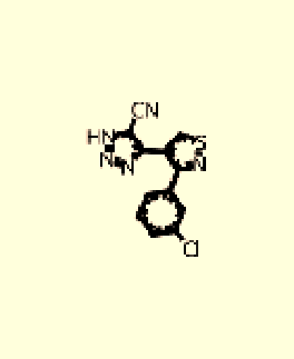 N#Cc1[nH]nnc1-c1csnc1-c1cccc(Cl)c1